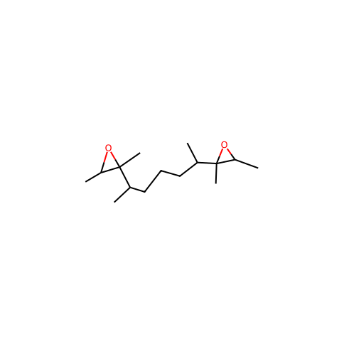 CC(CCCC(C)C1(C)OC1C)C1(C)OC1C